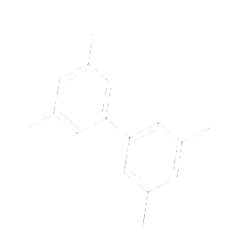 Cc1[c]c(C)cc(-c2cc(C)cc(C)c2)c1